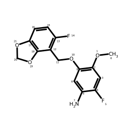 COc1cc(F)c(N)cc1OCc1c(F)ccc2c1OCO2